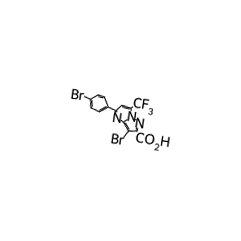 O=C(O)c1nn2c(C(F)(F)F)cc(-c3ccc(Br)cc3)nc2c1Br